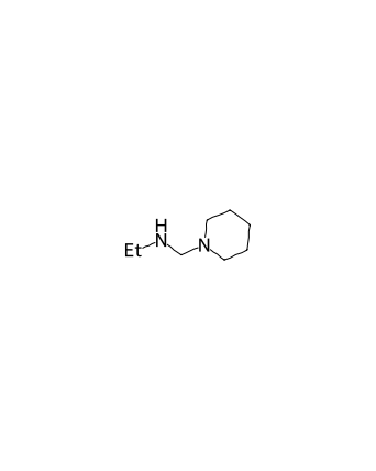 CCNCN1CCCCC1